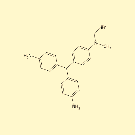 CC(C)CN(C)c1ccc(C(c2ccc(N)cc2)c2ccc(N)cc2)cc1